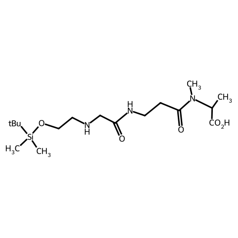 CC(C(=O)O)N(C)C(=O)CCNC(=O)CNCCO[Si](C)(C)C(C)(C)C